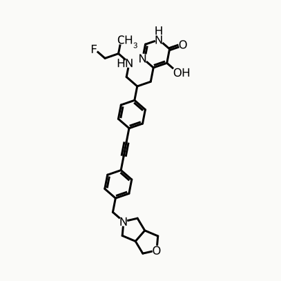 CC(CF)NCC(Cc1nc[nH]c(=O)c1O)c1ccc(C#Cc2ccc(CN3CC4COCC4C3)cc2)cc1